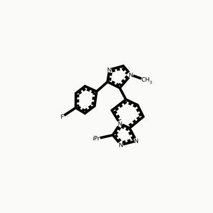 CC(C)c1nnc2ccc(-c3c(-c4ccc(F)cc4)ncn3C)cn12